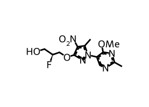 COc1nc(C)ncc1-n1nc(OC[C@@H](F)CO)c([N+](=O)[O-])c1C